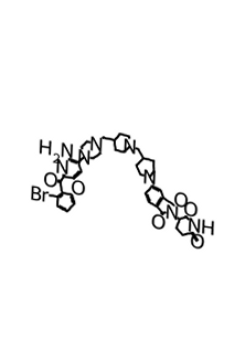 Nc1nc2c(=O)c3c(Br)cccc3oc2cc1N1CCN(CC2CCN(CC3CCN(c4ccc5c(c4)C(=O)N(C4CCC(=O)NC4=O)C5=O)CC3)CC2)CC1